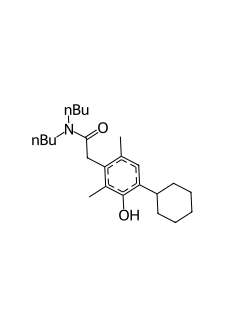 CCCCN(CCCC)C(=O)Cc1c(C)cc(C2CCCCC2)c(O)c1C